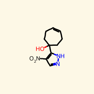 O=[N+]([O-])c1cn[nH]c1C1(O)CCC=CCC1